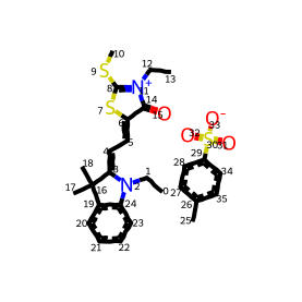 CCN1C(=CC=C2SC(SC)=[N+](CC)C2=O)C(C)(C)c2ccccc21.Cc1ccc(S(=O)(=O)[O-])cc1